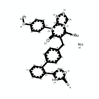 CCCCc1c(Cc2ccc(-c3ccccc3-c3noc(=O)[nH]3)cc2)c(=O)n(-c2ccc(OC(C)C)cc2)c2nncn12.[KH]